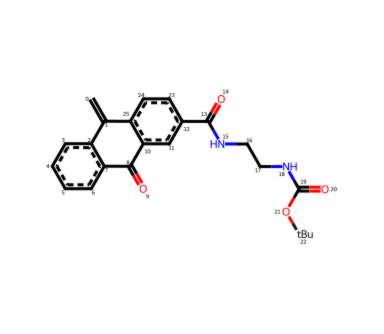 C=C1c2ccccc2C(=O)c2cc(C(=O)NCCNC(=O)OC(C)(C)C)ccc21